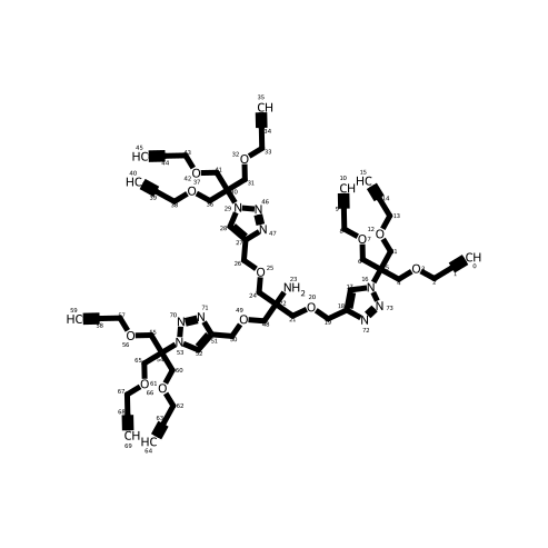 C#CCOCC(COCC#C)(COCC#C)n1cc(COCC(N)(COCc2cn(C(COCC#C)(COCC#C)COCC#C)nn2)COCc2cn(C(COCC#C)(COCC#C)COCC#C)nn2)nn1